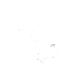 Cc1nc2ccc(C=O)nc2n1COCC[Si](C)(C)C